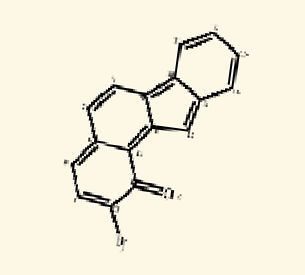 O=C1C(Br)=CC=c2ccc3c(c21)C=c1ccccc1=3